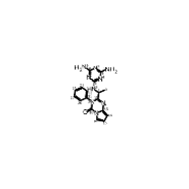 CC(Nc1nc(N)nc(N)n1)c1nc2cccn2c(=O)n1-c1ccccc1